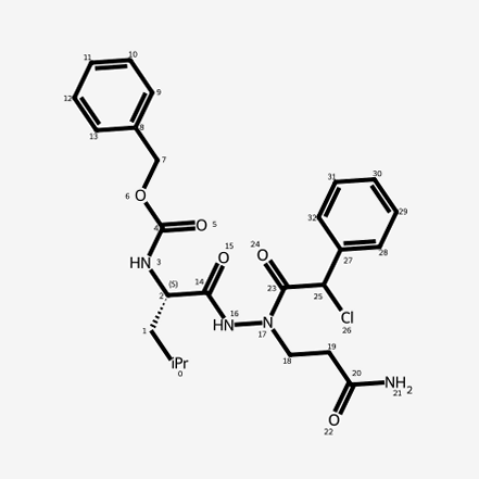 CC(C)C[C@H](NC(=O)OCc1ccccc1)C(=O)NN(CCC(N)=O)C(=O)C(Cl)c1ccccc1